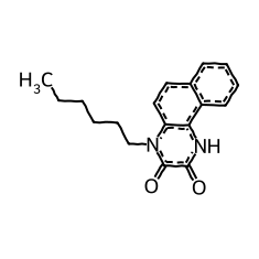 CCCCCCn1c(=O)c(=O)[nH]c2c3ccccc3ccc21